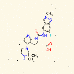 Cn1cc2cc(NC(=O)N3CCc4c(N5CCNC(C)(C)C5)ccnc43)c(F)cc2n1.O=CO